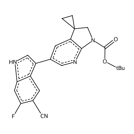 CC(C)(C)OC(=O)N1CC2(CC2)c2cc(-c3c[nH]c4cc(F)c(C#N)cc34)cnc21